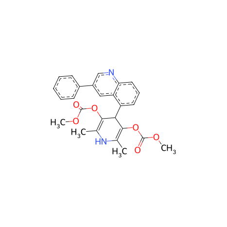 COC(=O)OC1=C(C)NC(C)=C(OC(=O)OC)C1c1cccc2ncc(-c3ccccc3)cc12